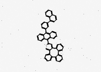 c1cc(-c2cccc3ccccc23)cc(-c2c3ccccc3c(-c3cc4c(cn3)-c3ccccc3-c3ccccc3-c3ccccc3-4)c3ccccc23)c1